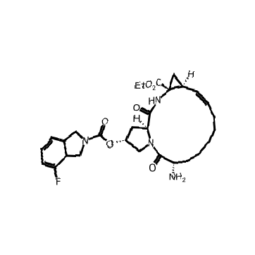 CCOC(=O)[C@@]12C[C@H]1/C=C\CCCCC[C@H](N)C(=O)N1C[C@H](OC(=O)N3CC4C=CC=C(F)C4C3)C[C@H]1C(=O)N2